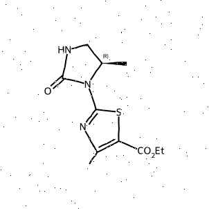 CCOC(=O)c1sc(N2C(=O)NC[C@H]2C)nc1C